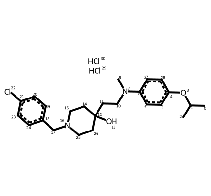 CC(C)Oc1ccc(N(C)CCC2(O)CCN(Cc3ccc(Cl)cc3)CC2)cc1.Cl.Cl